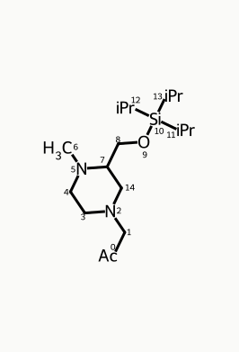 CC(=O)CN1CCN(C)C(CO[Si](C(C)C)(C(C)C)C(C)C)C1